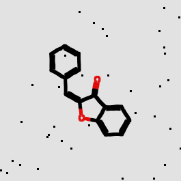 O=C1C(=Cc2ccccc2)Oc2ccccc21